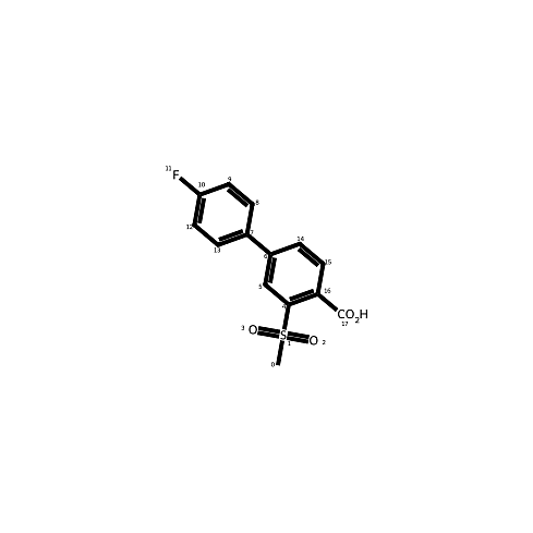 CS(=O)(=O)c1cc(-c2ccc(F)cc2)ccc1C(=O)O